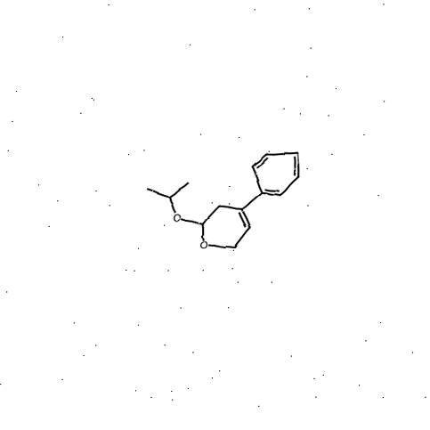 CC(C)OC1CC(c2ccccc2)=CCO1